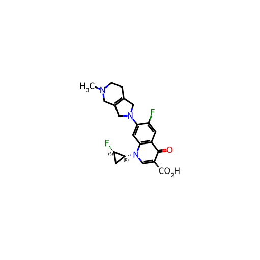 CN1CCC2=C(C1)CN(c1cc3c(cc1F)c(=O)c(C(=O)O)cn3[C@@H]1C[C@@H]1F)C2